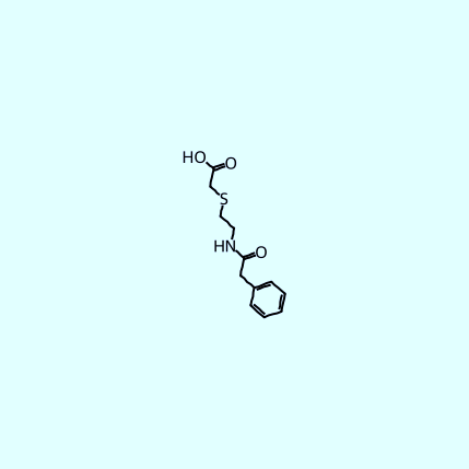 O=C(O)CSCCNC(=O)Cc1ccccc1